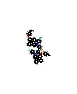 C=CC1C=CC(OC2C=CC(C3(C4=CC=CCC4)C4=C(C=CCC4)c4ccc(N(C5=CC6C(C=C5)SC5C=CC(N(C7=CC8C(C=C7)C7C=CCCC7C8(C7C=CC(OC8=CCC(C=C)CC8)=CC7)C7CC=CCC7)C7=CC=C(F)CC7)=CC56)c5ccc(F)cc5)cc43)=CC2)=CC1